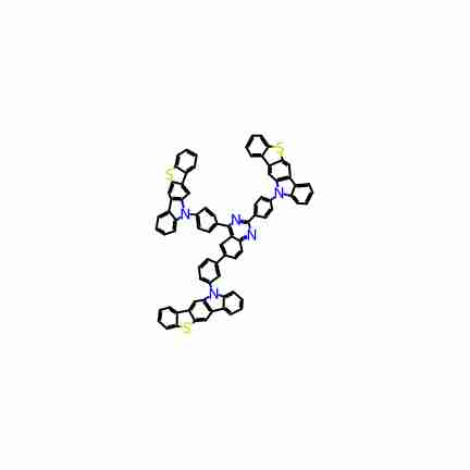 c1cc(-c2ccc3nc(-c4ccc(-n5c6ccccc6c6cc7sc8ccccc8c7cc65)cc4)nc(-c4ccc(-n5c6ccccc6c6cc7sc8ccccc8c7cc65)cc4)c3c2)cc(-n2c3ccccc3c3cc4sc5ccccc5c4cc32)c1